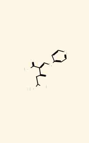 CC(=O)/C(=C/Nc1ccncc1)C(=O)CC(C)C